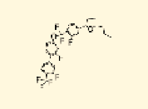 CCCC1CCC(c2ccc(C(F)(F)Oc3ccc(-c4ccc(C(F)(F)F)c(F)c4)c(F)c3)c(F)c2)O1